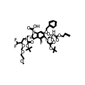 C=CCOC(=O)NS(=O)(=O)N(CC(=O)OC(C)(C)C)c1c(OCc2ccccc2)cc2c(c1F)C[C@H](CN(CC(OCOCCOC)C(F)F)C(=O)OC(C)(C)C)N2C(=O)O